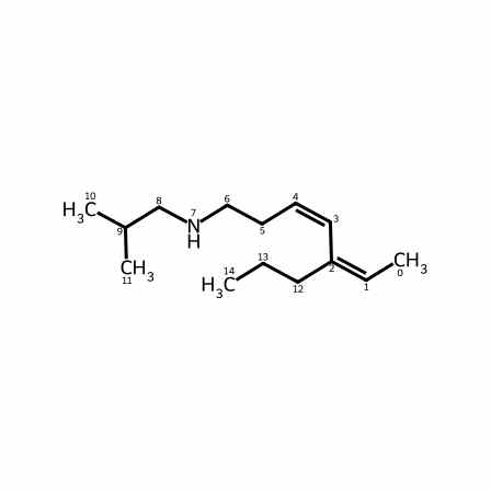 C/C=C(\C=C/CCNCC(C)C)CCC